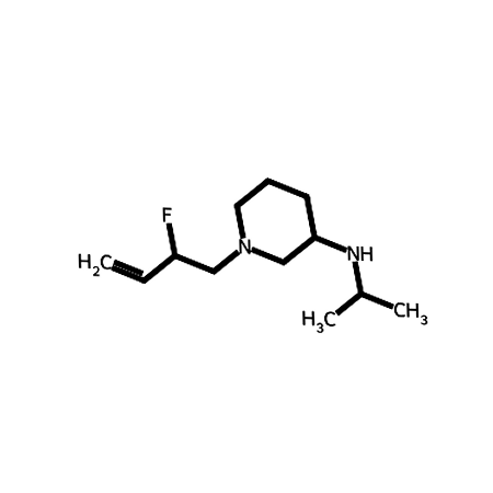 C=CC(F)CN1CCCC(NC(C)C)C1